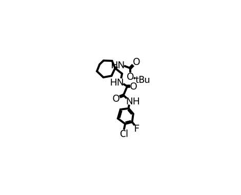 CC(C)(C)OC(=O)NC1(CNC(=O)C(=O)Nc2ccc(Cl)c(F)c2)CCCCCC1